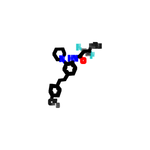 CCCC[C@@H](F)[C@@H](F)C(=O)Nc1ccc(CCc2ccc(C(F)(F)F)cc2)cc1N1CCCCC1